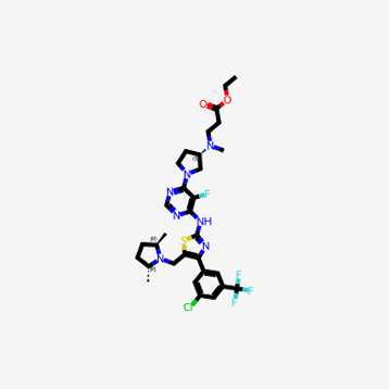 CCOC(=O)CCN(C)[C@H]1CCN(c2ncnc(Nc3nc(-c4cc(Cl)cc(C(F)(F)F)c4)c(CN4[C@H](C)CC[C@H]4C)s3)c2F)C1